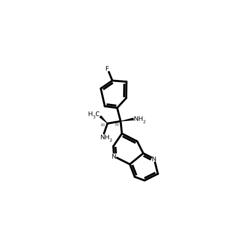 C[C@H](N)[C@](N)(c1ccc(F)cc1)c1cnc2cccnc2c1